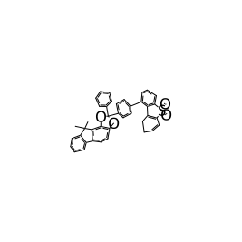 CC1(C)c2ccccc2-c2ccc3c(c21)OC(c1ccccc1)(c1ccc(-c2cccc4c2C2=C(C=CCC2)S4(=O)=O)cc1)O3